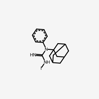 N=C(NI)N(c1ccccc1)C12CC3CC(CC(C3)C1)C2